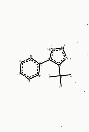 CC(C)(C)c1nn[nH]c1-c1ccccc1